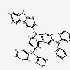 c1ccc(N(c2ccccc2)c2ccc3c(c2)c2cc(N(c4ccccc4)c4ccccc4)ccc2n3-c2ccc3oc4ccccc4c3c2)cc1